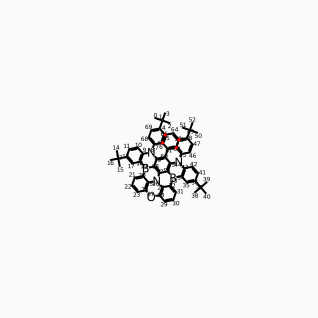 CC(C)(C)c1ccc(N2c3ccc(C(C)(C)C)cc3B3c4cccc5c4N4c6c(cccc6B6c7cc(C(C)(C)C)ccc7N(c7ccc(C(C)(C)C)cc7)c7c6c4c3c2c7-c2ccccc2)O5)cc1